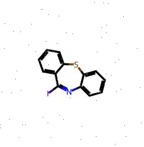 IC1=Nc2ccccc2Sc2ccccc21